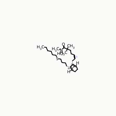 CCCCCCSCCCC[C@@H]1[C@H](C/C=C\CCC(C)(C)C(=O)N(C)O)[C@@H]2CC[C@H]1O2